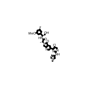 COc1cc(F)cc([C@@H](CO)NC(=O)[C@@H](C)N2Cc3ncc(-c4nc(Nc5cn(C)nn5)ncc4Cl)cc3C2=O)c1